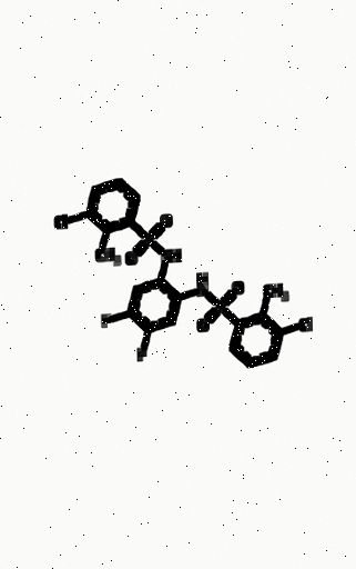 Cc1c(Cl)cccc1S(=O)(=O)Nc1cc(F)c(F)cc1NS(=O)(=O)c1cccc(Cl)c1C